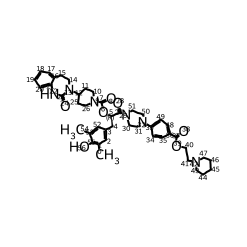 Cc1cc(C[C@@H](OC(=O)N2CCC(N3CCc4ccccc4NC3=O)CC2)C(=O)N2CCN(c3ccc(C(=O)OCCN4CCCCC4)cc3)CC2)cc(C)c1O